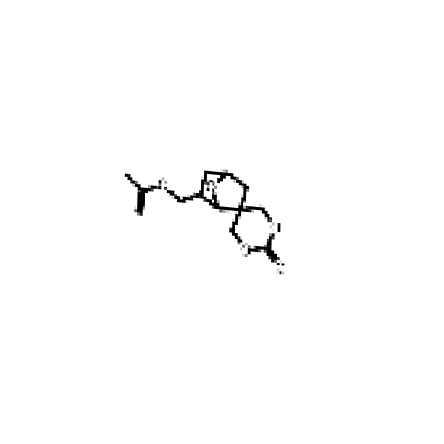 C=C(C)OCC1CC2CC3(COC(=O)OC3)C1O2